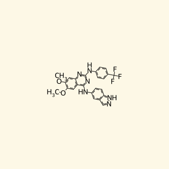 COc1cc2nc(Nc3ccc(C(F)(F)F)cc3)nc(Nc3ccc4[nH]ncc4c3)c2cc1OC